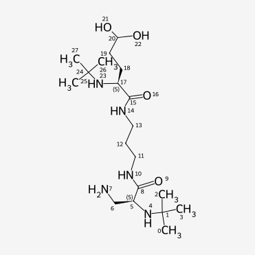 CC(C)(C)N[C@@H](CN)C(=O)NCCCNC(=O)[C@H](CCC(O)O)NC(C)(C)C